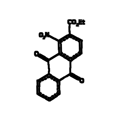 CCOC(=O)c1ccc2c(c1[N+](=O)[O-])C(=O)c1ccccc1C2=O